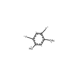 CC(=O)Oc1cc(O)c(F)cc1F